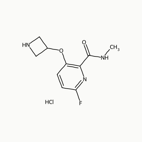 CNC(=O)c1nc(F)ccc1OC1CNC1.Cl